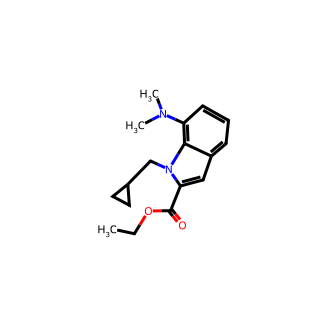 CCOC(=O)c1cc2cccc(N(C)C)c2n1CC1CC1